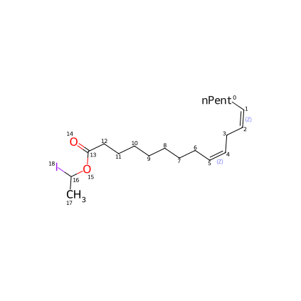 CCCCC/C=C\C/C=C\CCCCCCCC(=O)OC(C)I